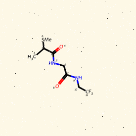 CSC(C)C(=O)NCC(=O)NCC(F)(F)F